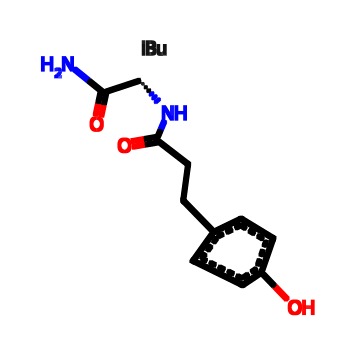 CC[C@H](C)[C@H](NC(=O)CCc1ccc(O)cc1)C(N)=O